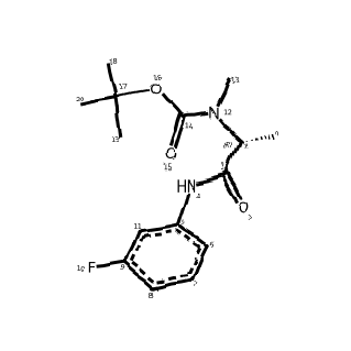 C[C@H](C(=O)Nc1cccc(F)c1)N(C)C(=O)OC(C)(C)C